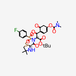 CN(C)C(=O)OC1=CC=C(C(=O)[C@@H](C(=O)OC(C)(C)C)N(C(=O)[C@H]2NC(C)(C)CS2)S(=O)(=O)c2ccc(F)cc2)C(=O)C1